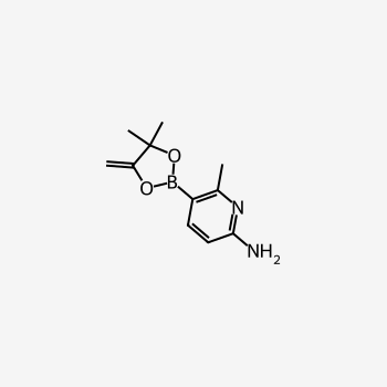 C=C1OB(c2ccc(N)nc2C)OC1(C)C